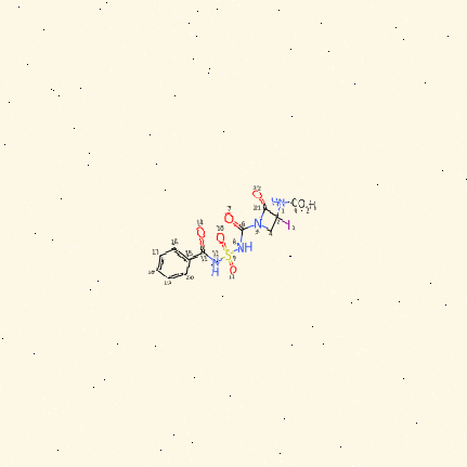 O=C(O)NC1(I)CN(C(=O)NS(=O)(=O)NC(=O)c2ccccc2)C1=O